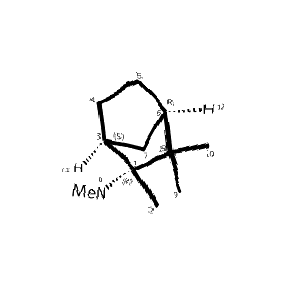 CN[C@]1(C)[C@H]2CC[C@H](C2)C1(C)C